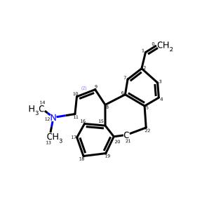 C=Cc1ccc2c(c1)C(/C=C\CN(C)C)c1ccccc1CC2